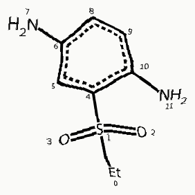 CCS(=O)(=O)c1cc(N)ccc1N